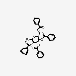 O=C(OC[C@H]1SC(O)[C@@H](OC(=O)c2ccccc2)[C@@H](OC(=O)c2ccccc2)[C@@H]1OC(=O)c1ccccc1)c1ccccc1